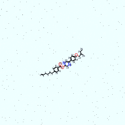 C=CCCCCc1ccc(C(=O)Oc2cnc(-c3ccc(OCC(C)CC)cc3)cn2)cc1